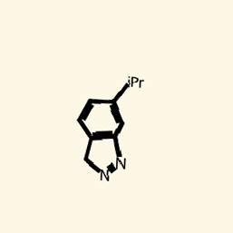 CC(C)c1ccc2c(c1)N=NC2